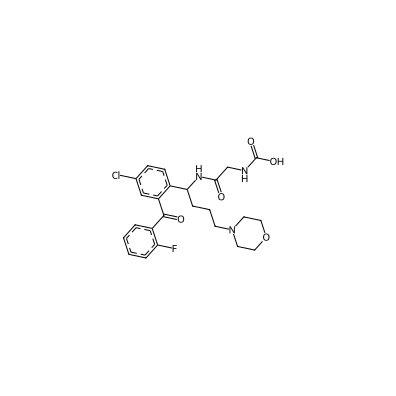 O=C(O)NCC(=O)NC(CCCN1CCOCC1)c1ccc(Cl)cc1C(=O)c1ccccc1F